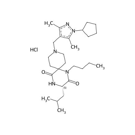 CCCCN1C(=O)[C@H](CC(C)C)NC(=O)C12CCN(Cc1c(C)nn(C3CCCC3)c1C)CC2.Cl